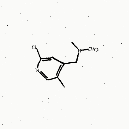 Cc1cnc(Cl)cc1CN(C)C=O